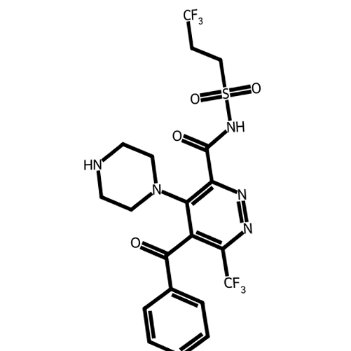 O=C(NS(=O)(=O)CCC(F)(F)F)c1nnc(C(F)(F)F)c(C(=O)c2ccccc2)c1N1CCNCC1